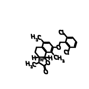 Cc1cc(OCc2c(Cl)cccc2Cl)c(C)c2c1CC[C@H]1C(C)C(=O)O[C@@H]21